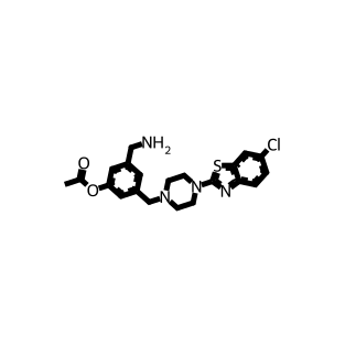 CC(=O)Oc1cc(CN)cc(CN2CCN(c3nc4ccc(Cl)cc4s3)CC2)c1